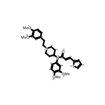 COc1ccc(CCN2CCC(N(C(=O)/C=C/c3cccs3)c3ccc(OC)c(OC)c3)CC2)cc1OC